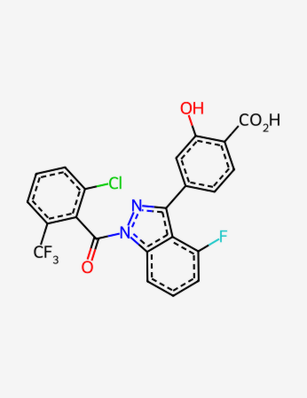 O=C(O)c1ccc(-c2nn(C(=O)c3c(Cl)cccc3C(F)(F)F)c3cccc(F)c23)cc1O